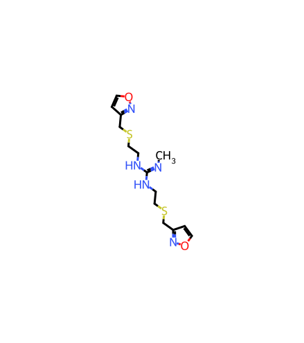 CN=C(NCCSCc1ccon1)NCCSCc1ccon1